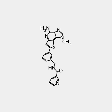 Cn1cnc2c(N)nc3cc(-c4cccc(CNC(=O)c5cccnc5)c4)sc3c21